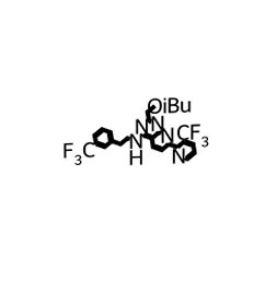 CC(C)COCc1nc(NCCc2cccc(C(F)(F)F)c2)c2ccc(-c3ncccc3C(F)(F)F)nc2n1